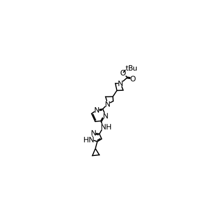 CC(C)(C)OC(=O)N1CC(C2CN(c3nccc(Nc4cc(C5CC5)[nH]n4)n3)C2)C1